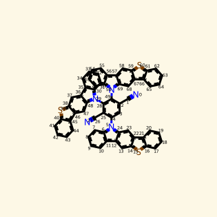 N#Cc1cc(-n2c3ccccc3c3cc4sc5ccccc5c4cc32)c(C#N)c(-n2c3ccccc3c3cc4sc5ccccc5c4cc32)c1-n1c2ccccc2c2cc3sc4ccccc4c3cc21